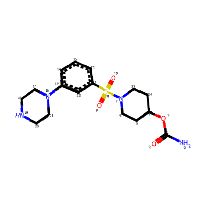 NC(=O)OC1CCN(S(=O)(=O)c2cccc(N3CCNCC3)c2)CC1